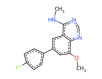 CNc1ncnc2c(OC)cc(-c3ccc(F)cc3)cc12